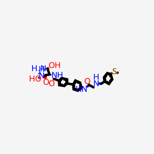 CSc1ccc(CNCC(=O)Nc2ccc(-c3ccc(C(=O)N[C@H](C(=O)NO)[C@@H](N)O)cc3)cc2)cc1